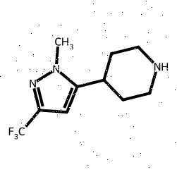 Cn1nc(C(F)(F)F)cc1C1CCNCC1